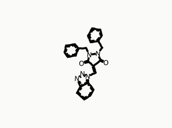 O=C1C(=Cn2nnc3ccccc32)C(=O)N(Cc2ccccc2)N1Cc1ccccc1